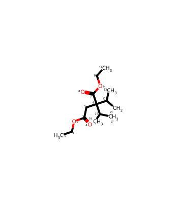 CCOC(=O)CC(C(=O)OCC)(C(C)C)C(C)C